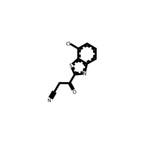 N#CCC(=O)c1nc2cccc(Cl)c2s1